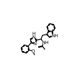 C=C(C)NC(Cc1c[nH]c2ccccc12)c1nc(-c2ccccc2OC)c[nH]1